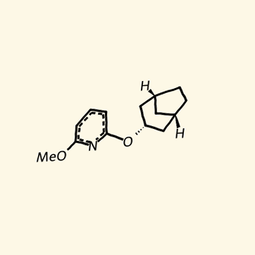 COc1cccc(O[C@@H]2C[C@@H]3CC[C@@H](C3)C2)n1